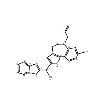 C=CCN1CCc2cc(C(O)c3nc4ccccc4o3)sc2-c2ccc(F)cc21